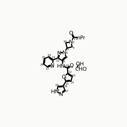 CCCC(=O)N1CC(n2cc(NC(=O)c3ccc(-c4cn[nH]c4)o3)c(-c3ccccn3)n2)C1.O=CO